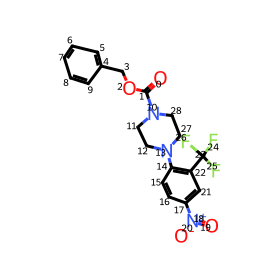 O=C(OCc1ccccc1)N1CCN(c2ccc([N+](=O)[O-])cc2C(F)(F)F)CC1